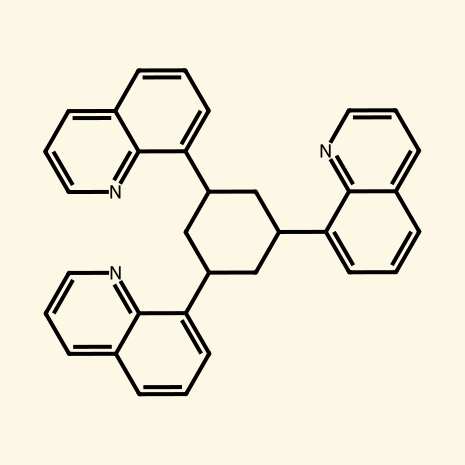 c1cnc2c(C3CC(c4cccc5cccnc45)CC(c4cccc5cccnc45)C3)cccc2c1